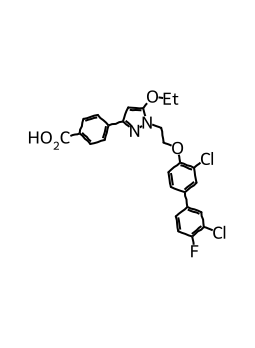 CCOc1cc(-c2ccc(C(=O)O)cc2)nn1CCOc1ccc(-c2ccc(F)c(Cl)c2)cc1Cl